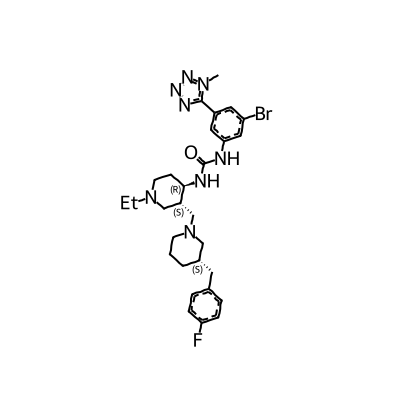 CCN1CC[C@@H](NC(=O)Nc2cc(Br)cc(-c3nnnn3C)c2)[C@H](CN2CCC[C@@H](Cc3ccc(F)cc3)C2)C1